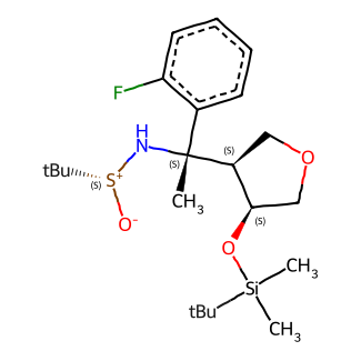 CC(C)(C)[S@@+]([O-])N[C@](C)(c1ccccc1F)[C@H]1COC[C@H]1O[Si](C)(C)C(C)(C)C